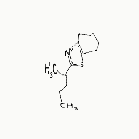 CCCC(C)c1nc2c(s1)CCCC2